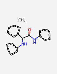 C.O=C(Nc1ccccc1)C(Nc1ccccc1)c1ccccc1